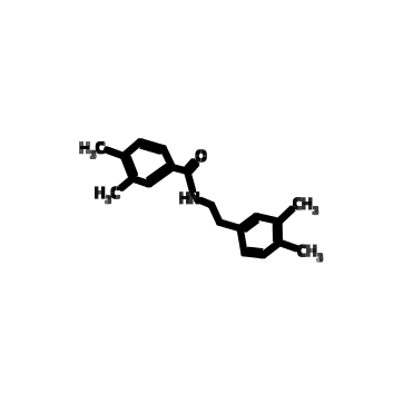 Cc1ccc(CCNC(=O)c2ccc(C)c(C)c2)cc1C